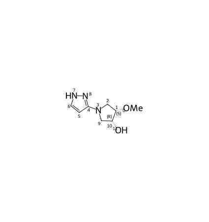 CO[C@H]1CN(c2cc[nH]n2)C[C@H]1O